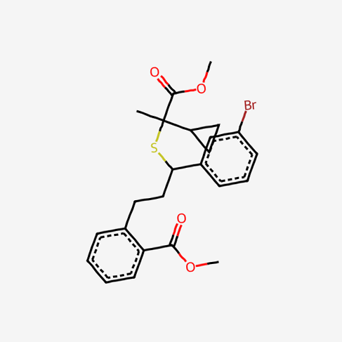 COC(=O)c1ccccc1CCC(SC(C)(C(=O)OC)C1CC1)c1cccc(Br)c1